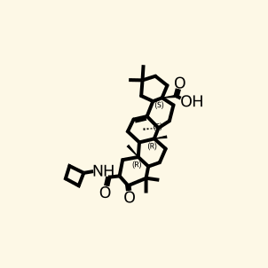 CC1(C)CC[C@]2(C(=O)O)CC[C@]3(C)C(=CCC4[C@@]5(C)CC(C(=O)NC6CCC6)C(=O)C(C)(C)C5CC[C@]43C)C2C1